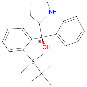 CC(C)(C)[Si](C)(C)c1ccccc1[C@@](O)(c1ccccc1)C1CCCN1